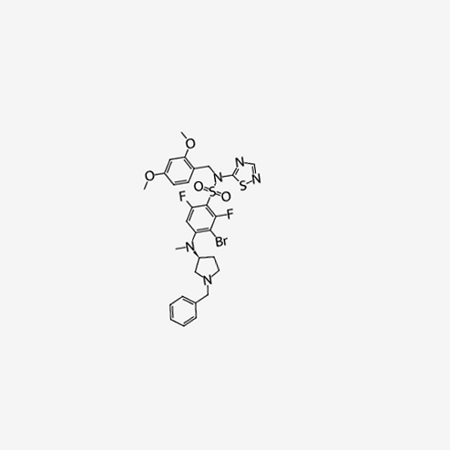 COc1ccc(CN(c2ncns2)S(=O)(=O)c2c(F)cc(N(C)[C@H]3CCN(Cc4ccccc4)C3)c(Br)c2F)c(OC)c1